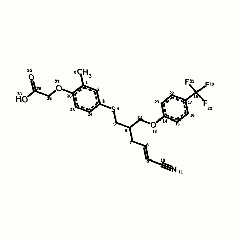 Cc1cc(SCC(CC=CC#N)COc2ccc(C(F)(F)F)cc2)ccc1OCC(=O)O